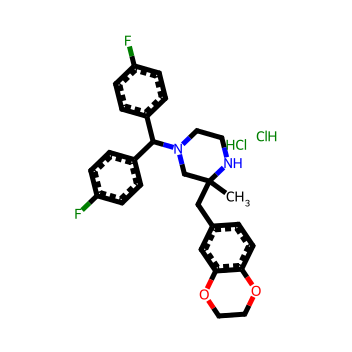 CC1(Cc2ccc3c(c2)OCCO3)CN(C(c2ccc(F)cc2)c2ccc(F)cc2)CCN1.Cl.Cl